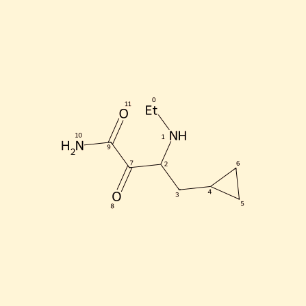 CCNC(CC1CC1)C(=O)C(N)=O